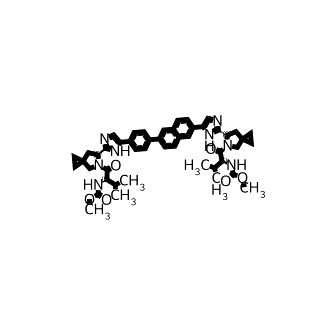 COC(=O)N[C@H](C(=O)N1CC2(CC2)C[C@H]1c1ncc(-c2ccc(-c3ccc4cc(-c5cnc([C@@H]6CC7(CC7)CN6C(=O)[C@@H](NC(=O)OC)C(C)C)[nH]5)ccc4c3)cc2)[nH]1)C(C)C